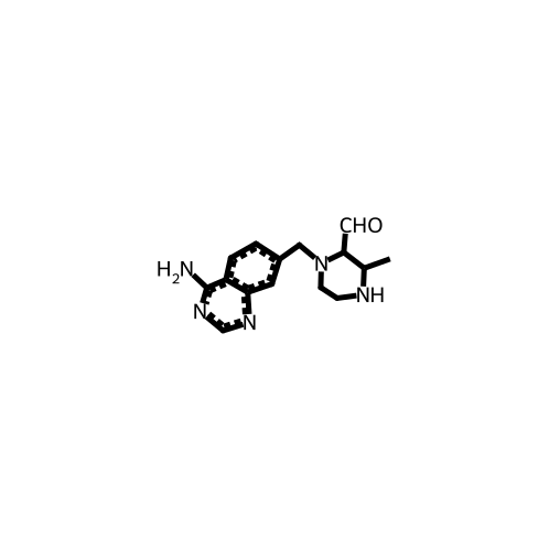 CC1NCCN(Cc2ccc3c(N)ncnc3c2)C1C=O